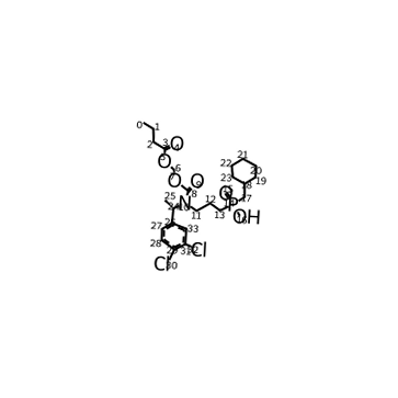 CCCC(=O)OCOC(=O)N(CCCP(=O)(O)CC1CCCCC1)[C@H](C)c1ccc(Cl)c(Cl)c1